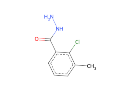 Cc1cccc(C(=O)NN)c1Cl